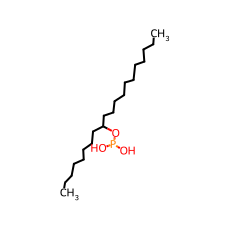 CCCCCCCCCCCC(CCCCCCCC)OP(O)O